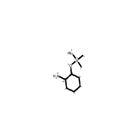 CC(C)(C)[Si](C)(C)OC1CCCCC1N